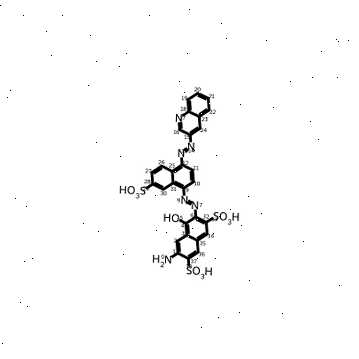 Nc1cc2c(O)c(/N=N/c3ccc(/N=N/c4cnc5ccccc5c4)c4ccc(S(=O)(=O)O)cc34)c(S(=O)(=O)O)cc2cc1S(=O)(=O)O